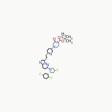 CC(C)(C)OC(=O)N1CCN(c2ccc(/C=C/c3cnc4ccc(N5C[C@@H](F)C[C@@H]5c5cc(F)ccc5F)nn34)nc2)CC1=O